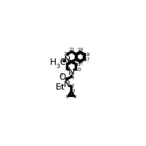 CCN(CC1CC1)C(=O)CN1CCC2(CC1)c1ccccc1CCN2C